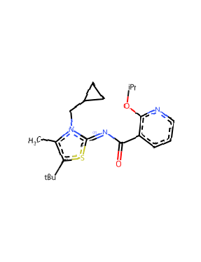 Cc1c(C(C)(C)C)s/c(=N\C(=O)c2cccnc2OC(C)C)n1CC1CC1